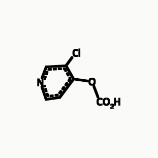 O=C(O)Oc1ccncc1Cl